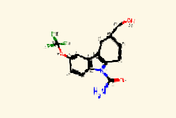 NC(=O)n1c2c(c3cc(OC(F)(F)F)ccc31)C[C](CO)CC2